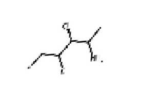 CC(N)[C@H](Cl)C(Cl)CF